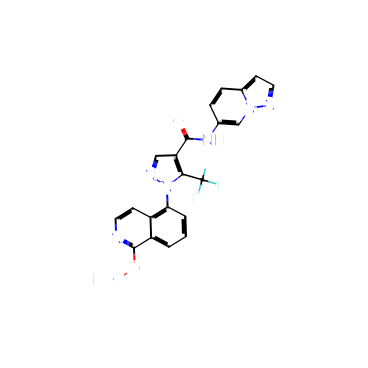 COc1nccc2c(-n3ncc(C(=O)Nc4ccc5ccnn5c4)c3C(F)(F)F)cccc12